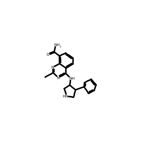 Cc1nc(NC2CNCC2c2ccccc2)c2cccc(C(N)=O)c2n1